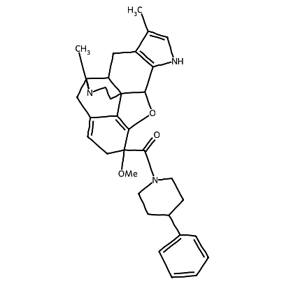 COC1(C(=O)N2CCC(c3ccccc3)CC2)CC=C2CC3C4Cc5c(C)c[nH]c5C5OC1=C2C54CCN3C